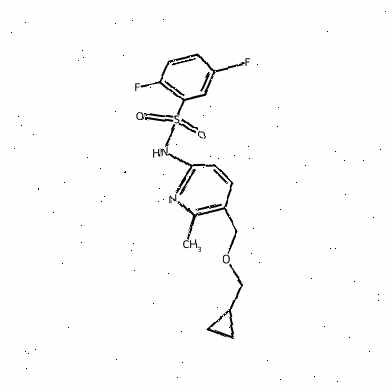 Cc1nc(NS(=O)(=O)c2cc(F)ccc2F)ccc1COCC1CC1